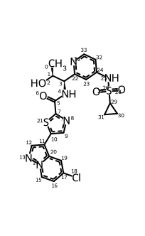 C[C@H](O)[C@H](NC(=O)c1ncc(-c2cnn3ccc(Cl)cc23)s1)c1cc(NS(=O)(=O)C2CC2)ccn1